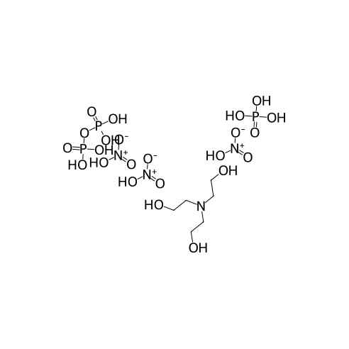 O=P(O)(O)O.O=P(O)(O)OP(=O)(O)O.O=[N+]([O-])O.O=[N+]([O-])O.O=[N+]([O-])O.OCCN(CCO)CCO